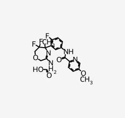 COc1ccc(C(=O)Nc2ccc(F)c(C3(C)N=C(N)COCC3(F)F)c2)nc1.O=CO